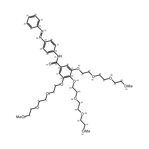 COCCOCCOCCOc1cc(C(=O)Nc2ccc(/N=N/c3ccccc3)cc2)cc(OCCOCCOCCOC)c1OCCOCCOCCOC